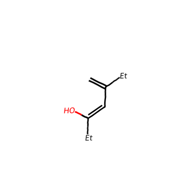 C=C(/C=C(\O)CC)CC